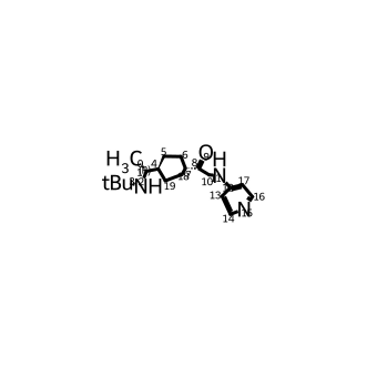 C[C@@H](NC(C)(C)C)[C@H]1CC[C@H](C(=O)CNc2ccncc2)CC1